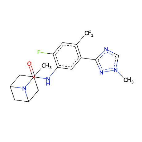 CC1CC2CC(C1)N2C(=O)Nc1cc(-c2ncn(C)n2)c(C(F)(F)F)cc1F